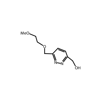 COCCOCc1ccc(CO)nn1